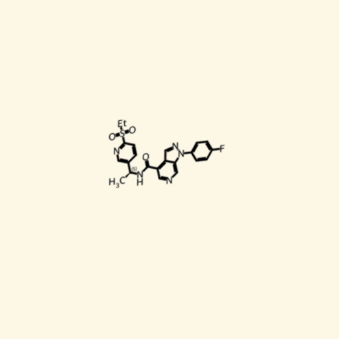 CCS(=O)(=O)c1ccc([C@H](C)NC(=O)c2cncc3c2cnn3-c2ccc(F)cc2)cn1